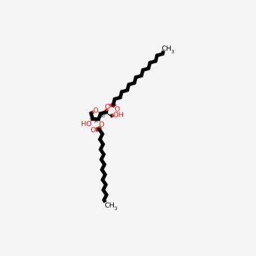 CCCCCCCCCCCCCCCC(=O)O[C@H]1[C@@H]([C@@H](CO)OC(=O)CCCCCCCCCCCCCCC)OC[C@@H]1O